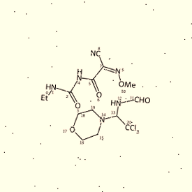 CCNC(=O)NC(=O)/C(C#N)=N\OC.O=CNC(N1CCOCC1)C(Cl)(Cl)Cl